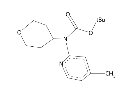 Cc1ccnc(N(C(=O)OC(C)(C)C)C2CCOCC2)c1